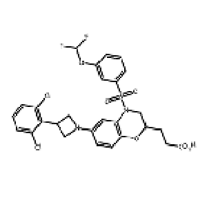 O=C(O)CCC1CN(S(=O)(=O)c2cccc(OC(F)F)c2)c2cc(N3CC(c4c(Cl)cccc4Cl)C3)ccc2O1